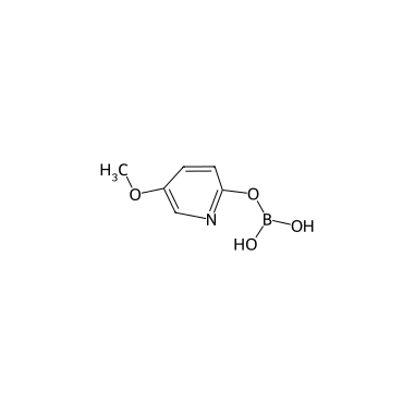 COc1ccc(OB(O)O)nc1